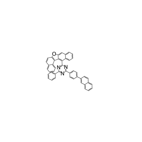 c1ccc(-c2nc(-c3ccc(-c4ccc5ccccc5c4)cc3)nc(-c3c4ccccc4cc4oc5ccc6ccccc6c5c34)n2)cc1